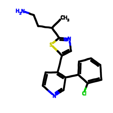 CC(CCN)c1ncc(-c2ccncc2-c2ccccc2Cl)s1